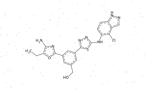 CCc1oc(-c2cc(CO)cc(-c3nnc(Nc4ccc5[nH]ncc5c4Cl)s3)c2)nc1N